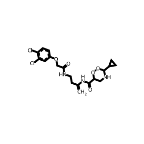 C=C(CCNC(=O)COc1ccc(Cl)c(Cl)c1)NC(=O)C1CNC(C2CC2)OO1